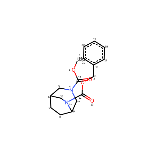 CC(C)(C)OC(=O)N1CC2CCC(C1)N(C(=O)OCc1ccccc1)C2